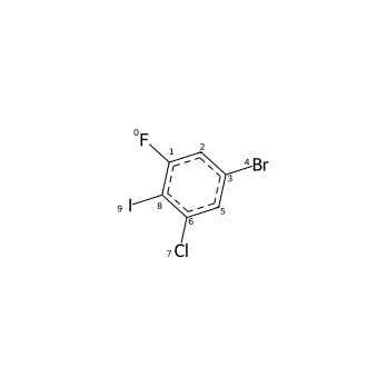 Fc1cc(Br)cc(Cl)c1I